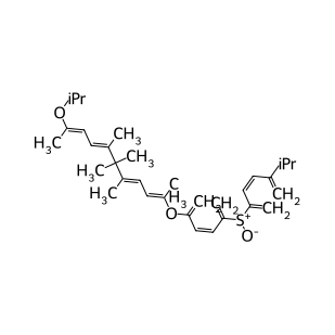 C=C(/C=C\C(=C)[S+]([O-])C(=C)/C=C\C(=C)C(C)C)O/C(C)=C/C=C(\C)C(C)(C)/C(C)=C/C=C(\C)OC(C)C